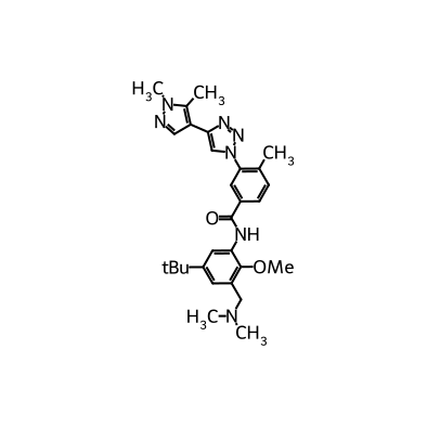 COc1c(CN(C)C)cc(C(C)(C)C)cc1NC(=O)c1ccc(C)c(-n2cc(-c3cnn(C)c3C)nn2)c1